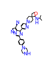 CCC1(C(=O)NC(C)C)CCN(c2ccc(-c3nc(-c4ccc(N5CCNCC5)cc4)cn4ncc(C#N)c34)cn2)CC1